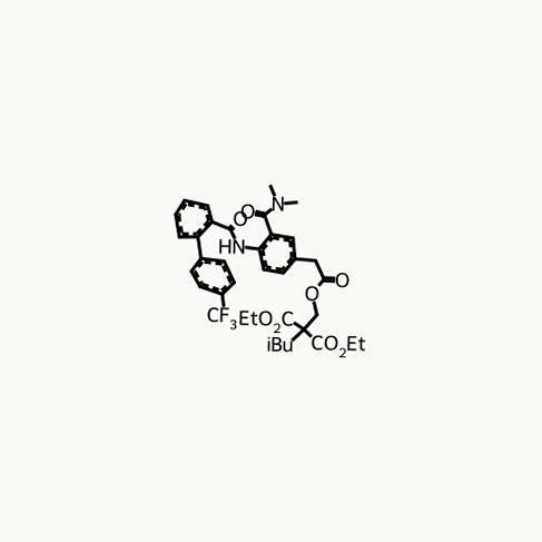 CCOC(=O)C(COC(=O)Cc1ccc(NC(=O)c2ccccc2-c2ccc(C(F)(F)F)cc2)c(C(=O)N(C)C)c1)(C(=O)OCC)C(C)CC